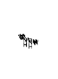 [N-]=[N+]=Nc1ccc(NC(=O)CCCC(=O)Nc2ccc(S(=O)(=O)N=[N+]=[N-])cc2)cc1